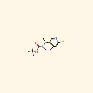 C[C@@H](c1cnc(F)cc1I)N(C)C(=O)OC(C)(C)C